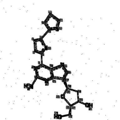 Nc1nc(-c2ccc(-c3cccs3)s2)c2ncn([C@H]3CC(O)[C@@H](CO)O3)c2n1